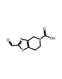 O=Cc1nc2c(s1)CCN(C(=O)O)C2